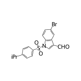 CC(C)c1ccc(S(=O)(=O)n2cc(C=O)c3cc(Br)ccc32)cc1